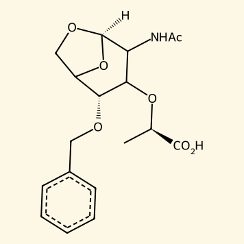 CC(=O)NC1C(O[C@H](C)C(=O)O)[C@H](OCc2ccccc2)C2CO[C@@H]1O2